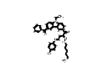 CCCCCCO/N=C(\CCSc1ccc(Cl)cc1)C(=O)c1ccc2c(c1)c1cc(C(=O)c3ccccc3)ccc1n2CC